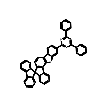 c1ccc(-c2nc(-c3ccccc3)nc(-c3ccc4c(c3)oc3c5c(ccc34)C3(c4ccccc4-c4ccccc43)c3ccccc3-5)n2)cc1